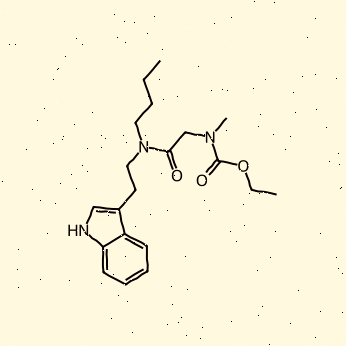 CCCCN(CCc1c[nH]c2ccccc12)C(=O)CN(C)C(=O)OCC